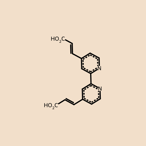 O=C(O)C=Cc1ccnc(-c2cc(C=CC(=O)O)ccn2)c1